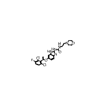 CC(Oc1ccc2nc(NC(=O)NCCN3CCOCC3)[nH]c2c1)c1c(Cl)ccc(F)c1Cl